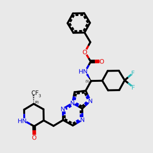 O=C(N[C@H](c1cn2nc(CC3C[C@@H](C(F)(F)F)CNC3=O)cnc2n1)C1CCC(F)(F)CC1)OCc1ccccc1